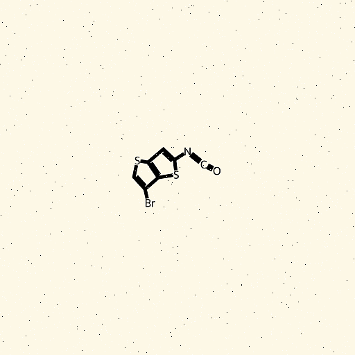 O=C=Nc1cc2scc(Br)c2s1